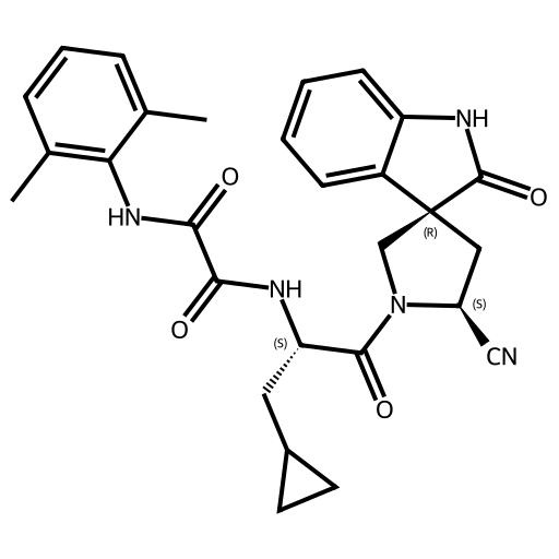 Cc1cccc(C)c1NC(=O)C(=O)N[C@@H](CC1CC1)C(=O)N1C[C@]2(C[C@H]1C#N)C(=O)Nc1ccccc12